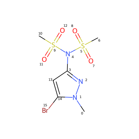 Cn1nc(N(S(C)(=O)=O)S(C)(=O)=O)cc1Br